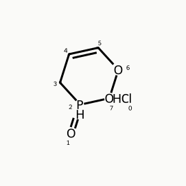 Cl.O=[PH]1CC=COO1